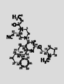 C=CC(=O)N1CCN(c2nc(OC[C@@H]3CCCN3C)nc3c2CC[C@]2(CCCc4ccccc42)C3)C[C@@H]1CC#N